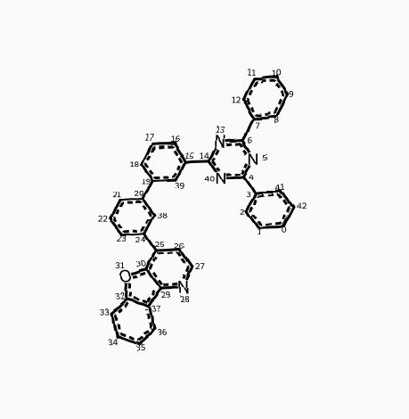 c1ccc(-c2nc(-c3ccccc3)nc(-c3cccc(-c4cccc(-c5ccnc6c5oc5ccccc56)c4)c3)n2)cc1